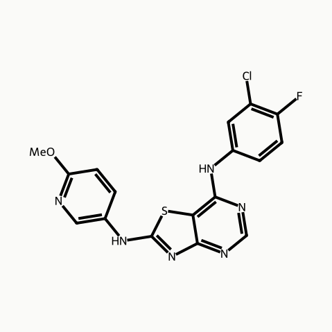 COc1ccc(Nc2nc3ncnc(Nc4ccc(F)c(Cl)c4)c3s2)cn1